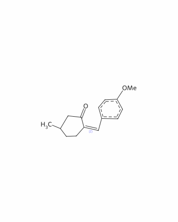 COc1ccc(/C=C2/CCC(C)CC2=O)cc1